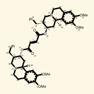 COc1cc2c(cc1OC)[C@H]1C[C@@H](OC(=O)/C=C/C(=O)O[C@@H]3C[C@@H]4c5cc(OC)c(OC)cc5CCN4C[C@H]3CC(C)C)[C@H](CC(C)C)CN1CC2